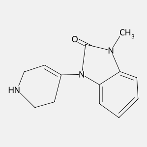 Cn1c(=O)n(C2=CCNCC2)c2ccccc21